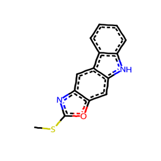 CSc1nc2cc3c(cc2o1)[nH]c1ccccc13